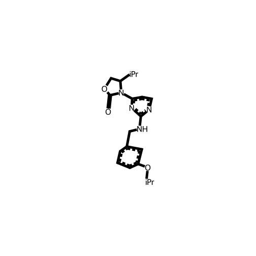 CC(C)Oc1cccc(CNc2nccc(N3C(=O)OCC3C(C)C)n2)c1